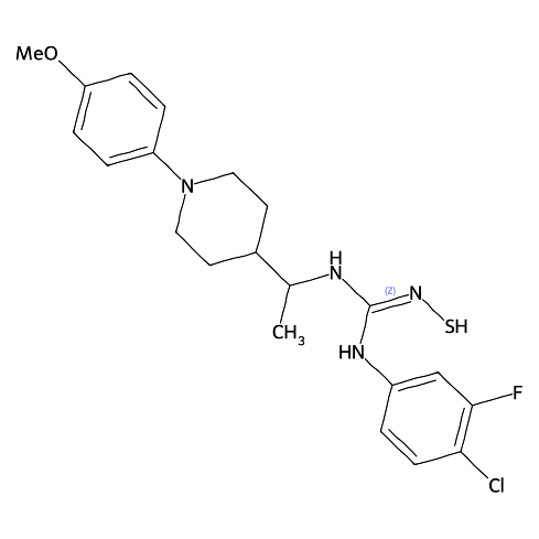 COc1ccc(N2CCC(C(C)N/C(=N/S)Nc3ccc(Cl)c(F)c3)CC2)cc1